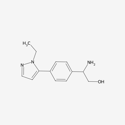 CCn1nccc1-c1ccc(C(N)CO)cc1